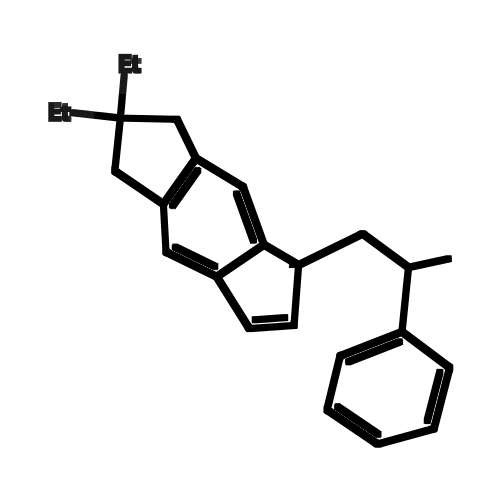 CCC1(CC)Cc2cc3c(cc2C1)[C](CC(C)c1ccccc1)C=C3